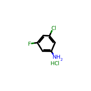 Cl.Nc1cc(F)cc(Cl)c1